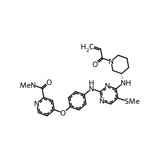 C=CC(=O)N1CCC[C@H](Nc2nc(Nc3ccc(Oc4ccnc(C(=O)NC)c4)cc3)ncc2SC)C1